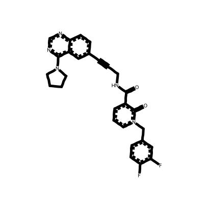 O=C(NCC#Cc1ccc2ncnc(N3CCCC3)c2c1)c1cccn(Cc2ccc(F)c(F)c2)c1=O